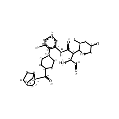 CN1CC(Cl)CNC1C(C(=O)Nc1cncc(F)c1N1CCC(C(=O)N2CCN3CCC2CC3)CC1)C(N)N=O